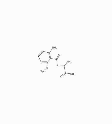 COc1cccc(N)c1C(=O)CC(N)C(=O)O